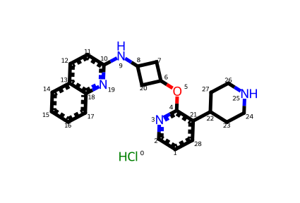 Cl.c1cnc(OC2CC(Nc3ccc4ccccc4n3)C2)c(C2CCNCC2)c1